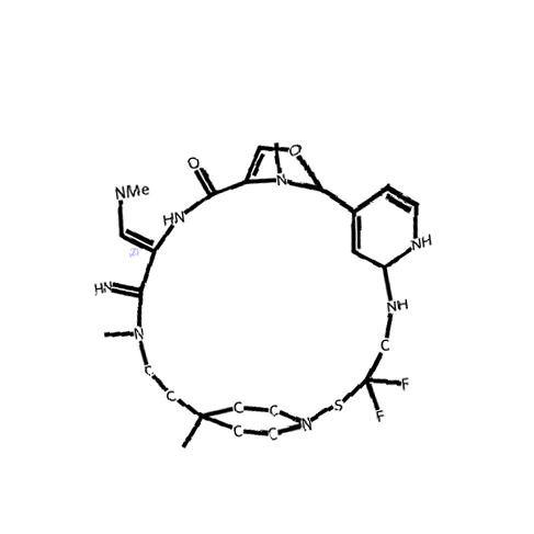 CN/C=C1\NC(=O)C2=COC(C3=CC(NC=C3)NCC(F)(F)SN3CCC(C)(CC3)CCN(C)C1=N)N2C